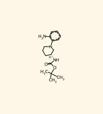 CC(C)(C)OC(=O)N[C@@H]1CCCN(c2ccccc2N)C1